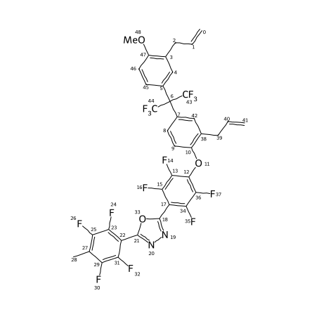 C=CCc1cc(C(c2ccc(Oc3c(F)c(F)c(-c4nnc(-c5c(F)c(F)c(C)c(F)c5F)o4)c(F)c3F)c(CC=C)c2)(C(F)(F)F)C(F)(F)F)ccc1OC